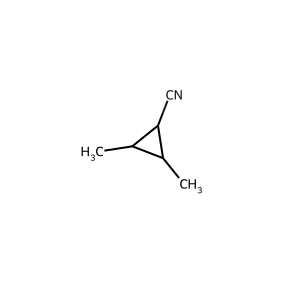 CC1C(C)C1C#N